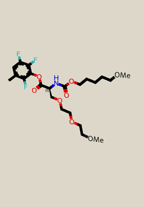 COCCCCCOC(=O)N[C@@H](COCCOCCOC)C(=O)Oc1c(F)c(C)cc(F)c1F